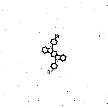 Brc1ccc(-n2c3ccccc3c3cc4c(cc32)c2ccccc2n4-c2ccc(Br)cc2)cc1